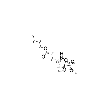 CCCCOC(=O)CC[C@H]1CC(OC)(C(=O)OC)ON1